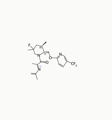 C=C(C)/N=C(\C)C(=O)N1CC(C)(F)C[C@@H](C)[C@H]1COc1ccc(C(F)(F)F)cn1